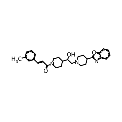 Cc1cccc(C=CC(=O)N2CCC(C(O)CN3CCC(c4nc5ccccc5o4)CC3)CC2)c1